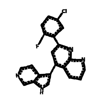 Fc1ccc(Cl)cc1-c1cc(-c2c[nH]c3cnccc23)c2cccnc2n1